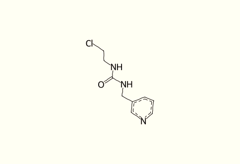 O=C(NCCCl)NCc1cccnc1